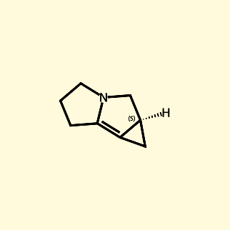 C1CC2=C3C[C@@H]3CN2C1